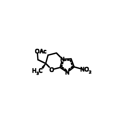 CC(=O)OC[C@]1(C)CCn2cc([N+](=O)[O-])nc2O1